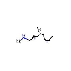 C/C=C\CC(/C=C/CNCC)CC